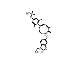 C=C1/C(F)=C\C=C(\c2c(C)cc(OC(C)(C)C#N)cc2C)CCC[C@H]1Oc1ccc2c(c1)OC[C@H]2CC(=O)O